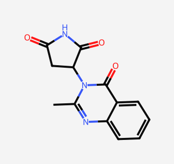 Cc1nc2ccccc2c(=O)n1C1CC(=O)NC1=O